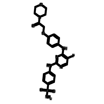 NS(=O)(=O)c1ccc(Nc2ncc(F)c(Nc3ccc(OCC(=O)N4CCOCC4)cc3)n2)cc1